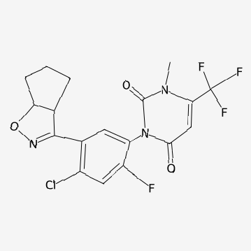 Cn1c(C(F)(F)F)cc(=O)n(-c2cc(C3=NOC4CCCC34)c(Cl)cc2F)c1=O